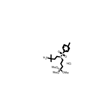 CO[Si](CCCN(CCC(C)(C)N)S(=O)(=O)c1ccc(C)cc1)(OC)OC.Cl